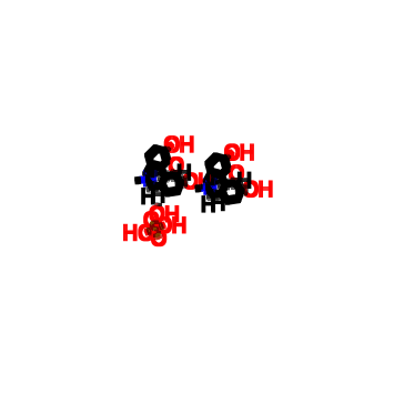 CN1CC[C@]23c4c5ccc(O)c4O[C@H]2[C@@H](O)C=C[C@H]3[C@H]1C5.CN1CC[C@]23c4c5ccc(O)c4O[C@H]2[C@@H](O)C=C[C@H]3[C@H]1C5.CO.O=S(=O)(O)O